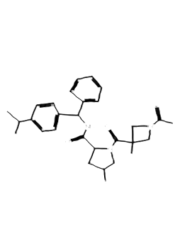 CC(=O)N1CC(C)(C(=O)N2CC(F)CC2C(=O)NC(c2ccccc2)c2ccc(C(C)C)cc2)C1